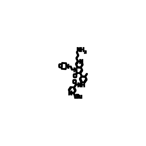 Cc1ccc(NC(=O)c2ccnc(C(C)(C)C)c2)cc1-c1cc2cnc(CCCN)cc2n(CCN2CCOCC2)c1=O